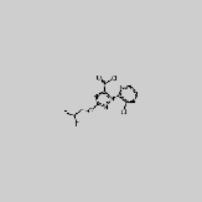 O=C(Cl)c1cc(OCC(F)F)nn1-c1ncccc1Cl